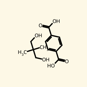 CC(C)(CO)CO.O=C(O)c1ccc(C(=O)O)cc1